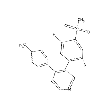 Cc1ccc(-c2ccncc2-c2cc(F)c(S(C)(=O)=O)cc2F)cc1